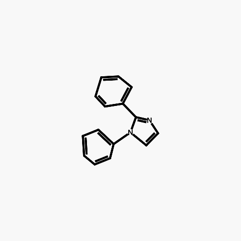 c1ccc(-c2nccn2-c2ccccc2)cc1